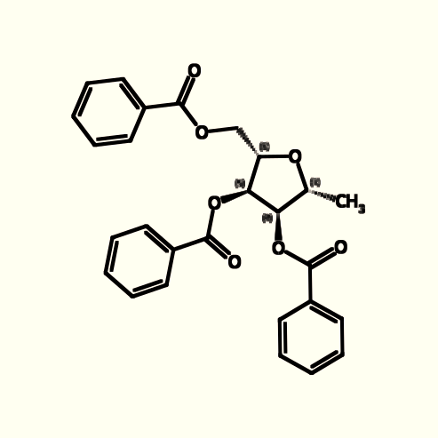 C[C@H]1O[C@@H](COC(=O)c2ccccc2)[C@H](OC(=O)c2ccccc2)[C@@H]1OC(=O)c1ccccc1